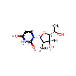 [2H][C@@]1(O)[C@@H](C(C)O)O[C@@H](n2ccc(=O)[nH]c2=O)[C@@H]1OC